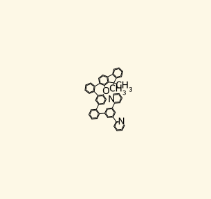 CC1(C)c2ccccc2-c2ccc3c(c21)Oc1ccc(-c2ccccc2-c2cc(-c4ccccn4)cc(-c4ccccn4)c2)cc1-c1ccccc1-3